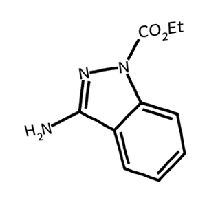 CCOC(=O)n1nc(N)c2ccccc21